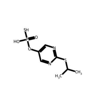 CC(C)Sc1ncc(OP(=O)(O)S)cn1